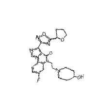 O=c1c2c(-c3noc(C4CCCO4)n3)ncn2c2ccc(F)cc2n1CCN1CCC(O)CC1